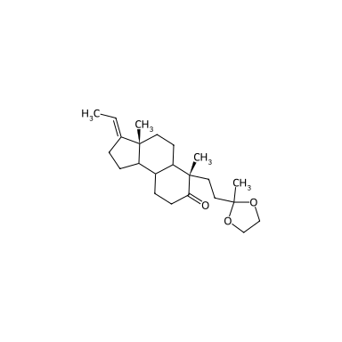 C/C=C1\CCC2C3CCC(=O)[C@@](C)(CCC4(C)OCCO4)C3CC[C@@]12C